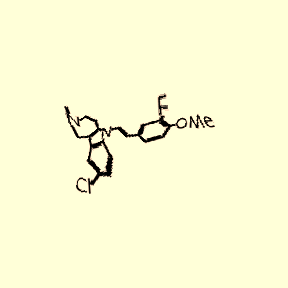 COc1ccc(C=Cn2c3c(c4cc(Cl)ccc42)CCN(C)CC3)cc1F